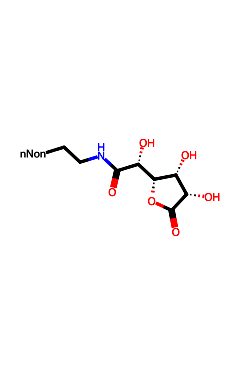 CCCCCCCCCCCNC(=O)[C@H](O)[C@H]1OC(=O)[C@@H](O)[C@H]1O